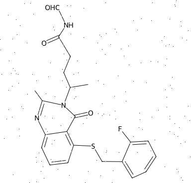 Cc1nc2cccc(SCc3ccccc3F)c2c(=O)n1C(C)CCC(=O)NC=O